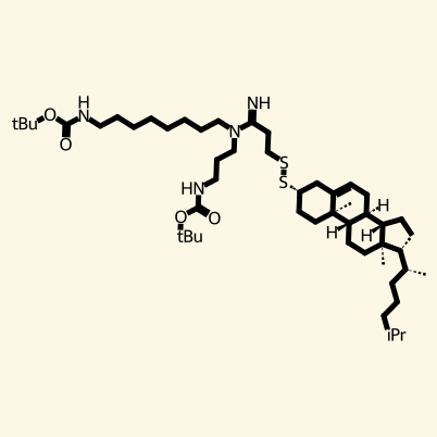 CC(C)CCC[C@@H](C)[C@H]1CC[C@H]2[C@@H]3CC=C4C[C@@H](SSCCC(=N)N(CCCCCCCCNC(=O)OC(C)(C)C)CCCNC(=O)OC(C)(C)C)CC[C@]4(C)[C@H]3CC[C@]12C